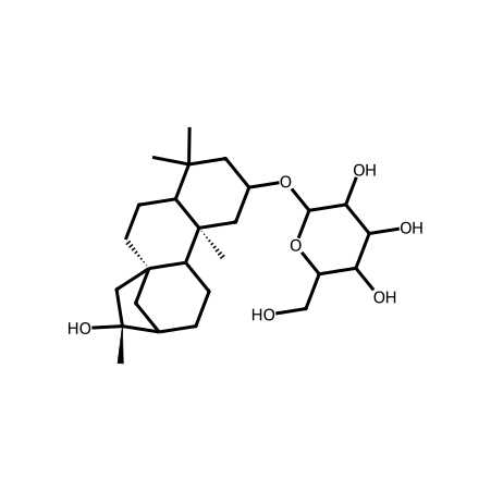 CC1(C)CC(OC2OC(CO)C(O)C(O)C2O)C[C@]2(C)C1CC[C@@]13CC(CCC12)[C@](C)(O)C3